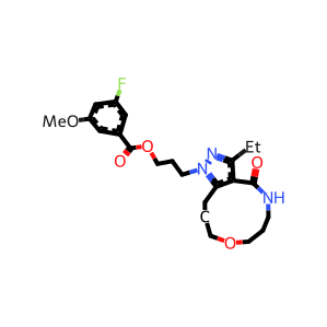 CCc1nn(CCCOC(=O)c2cc(F)cc(OC)c2)c2c1C(=O)NCCCOCCC2